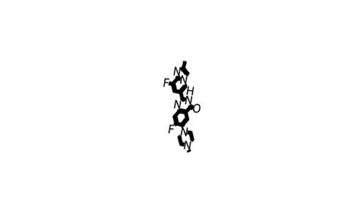 Cc1cn2cc(-c3nc4cc(F)c(N5CCN(C)CC5)cc4c(=O)[nH]3)cc(F)c2n1